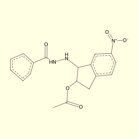 CC(=O)OC1Cc2ccc([N+](=O)[O-])cc2C1NNC(=O)c1ccccc1